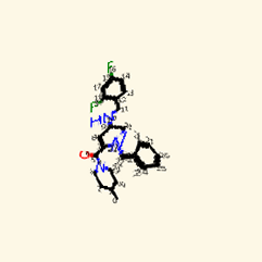 CC1CCN(C(=O)C2CC(NCc3ccc(F)cc3F)CN2Cc2ccccc2)CC1